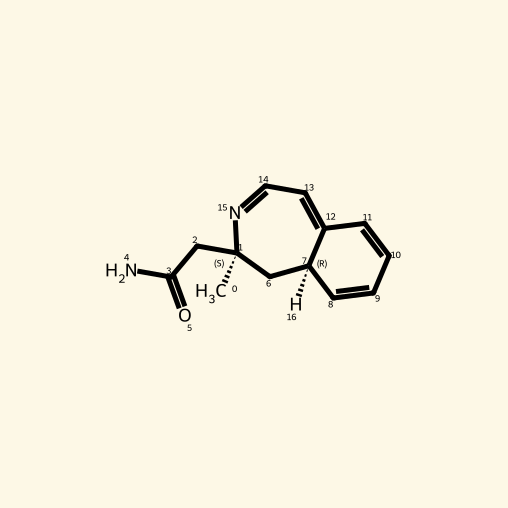 C[C@@]1(CC(N)=O)C[C@@H]2C=CC=CC2=CC=N1